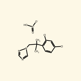 CC(C)(Cn1cncn1)c1ccc(Cl)cc1Cl.O=[N+]([O-])O